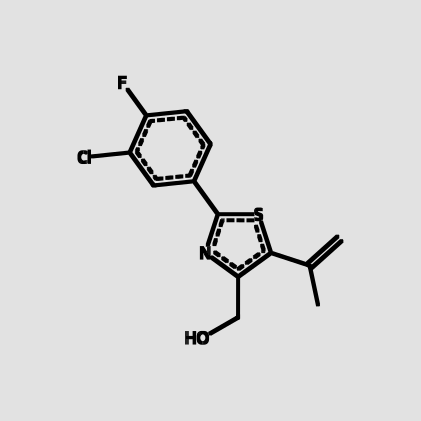 C=C(C)c1sc(-c2ccc(F)c(Cl)c2)nc1CO